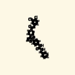 C=CC(N1CCN(C(=O)Cc2ccc(Cl)c(Cl)c2)CC1)S(=O)(=O)c1ccc(NC(=O)NCc2cccnc2)cc1